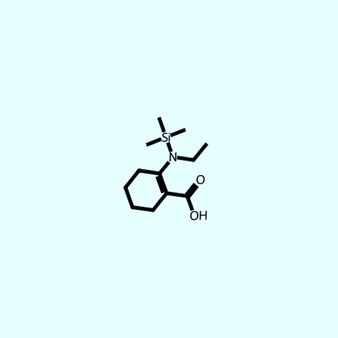 CCN(C1=C(C(=O)O)CCCC1)[Si](C)(C)C